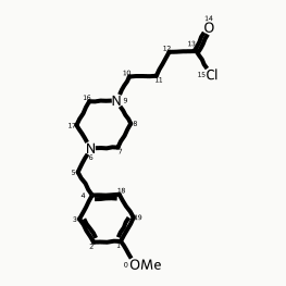 COc1ccc(CN2CCN(CCCC(=O)Cl)CC2)cc1